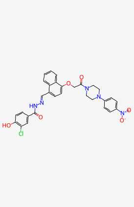 O=C(N/N=C/c1ccc(OCC(=O)N2CCN(c3ccc([N+](=O)[O-])cc3)CC2)c2ccccc12)c1ccc(O)c(Cl)c1